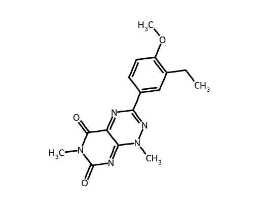 CCc1cc(-c2nc3c(=O)n(C)c(=O)nc-3n(C)n2)ccc1OC